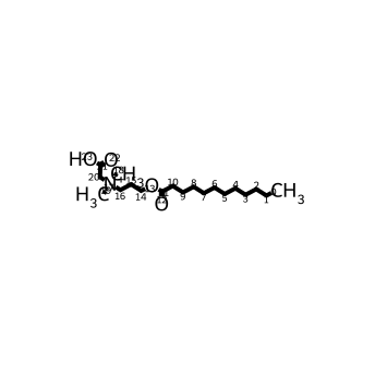 CCCCCCCCCCCC(=O)OCCC[N+](C)(C)CC(=O)O